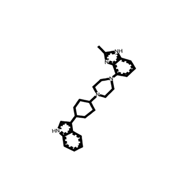 Cc1nc2c(N3CCN(C4CCC(c5c[nH]c6ccccc56)CC4)CC3)cccc2[nH]1